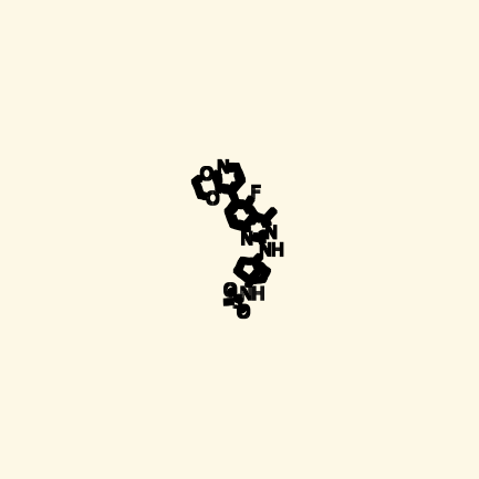 Cc1nc(NC23CCC(NS(C)(=O)=O)(CC2)C3)nc2ccc(-c3ccnc4c3OCCO4)c(F)c12